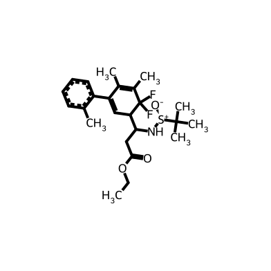 CCOC(=O)CC(N[S@+]([O-])C(C)(C)C)C1C=C(c2ccccc2C)C(C)=C(C)C1(F)F